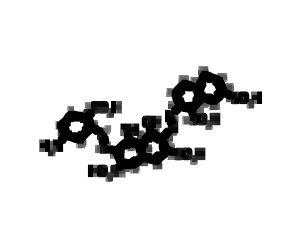 Nc1ccc(S(=O)(=O)O)c(N=Nc2c(S(=O)(=O)O)cc3cc(S(=O)(=O)O)c(N=Nc4ccc5ccc(S(=O)(=O)O)cc5c4S(=O)(=O)O)c(O)c3c2N)c1